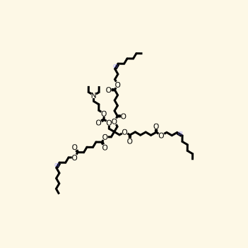 CCCCC/C=C\CCOC(=O)CCCCC(=O)OCC(COC(=O)CCCCC(=O)OCC/C=C\CCCCC)(COC(=O)CCCCC(=O)OCC/C=C\CCCCC)COC(=O)OCCCN(CC)CC